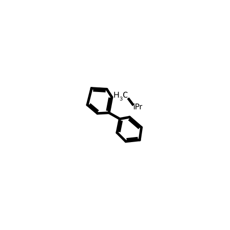 CC(C)C.c1ccc(-c2ccccc2)cc1